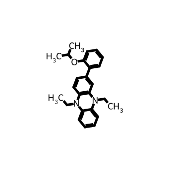 CCN1c2ccccc2N(CC)c2cc(-c3ccccc3OC(C)C)ccc21